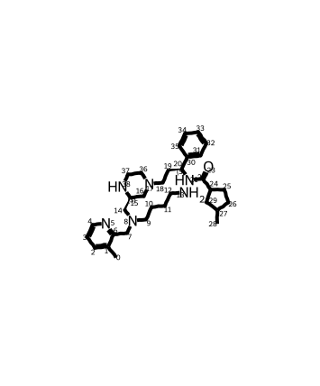 Cc1cccnc1CN(CCCCN)C[C@@H]1CN(CC[C@H](NC(=O)C2CCC(C)C2)c2ccccc2)CCN1